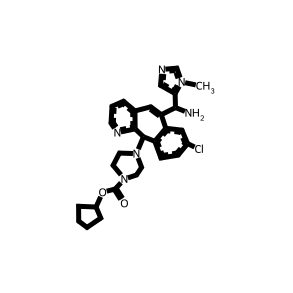 Cn1cncc1C(N)C1=Cc2cccnc2C(N2CCN(C(=O)OC3CCCC3)CC2)c2ccc(Cl)cc21